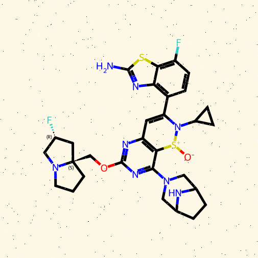 Nc1nc2c(C3=Cc4nc(OC[C@@]56CCCN5C[C@H](F)C6)nc(N5CC6CCC(C5)N6)c4[S+]([O-])N3C3CC3)ccc(F)c2s1